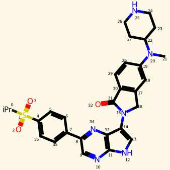 CC(C)S(=O)(=O)c1ccc(-c2cnc3[nH]cc(N4Cc5cc(N(C)C6CCNCC6)ccc5C4=O)c3n2)cc1